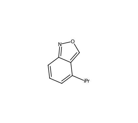 CC(C)c1cccc2nocc12